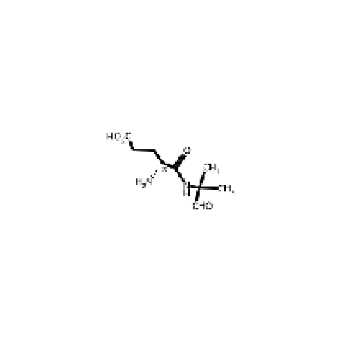 CC(C)(C=O)NC(=O)[C@H](N)CCC(=O)O